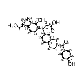 CCn1nnc2c(C)c(C(CC(=O)O)c3ccc4c(c3)CN(C(=O)c3ccc(O)cc3)CC4)ccc21